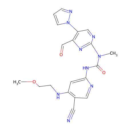 COCCNc1cc(NC(=O)N(C)c2ncc(-n3cccn3)c(C=O)n2)ncc1C#N